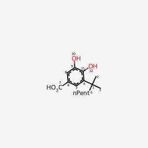 CCCCCC(C)(C)c1cc(C(=O)O)cc(O)c1O